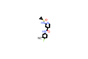 N#Cc1cc(NC(=O)c2ccnc(N[S+]([O-])C3CC3)c2)ccc1F